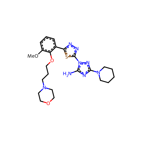 COc1cccc(-c2nnc(-n3nc(N4CCCCC4)nc3N)s2)c1OCCCN1CCOCC1